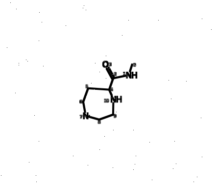 CNC(=O)C1CC[N]CCN1